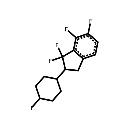 Fc1ccc2c(c1F)C(F)(F)C(C1CCC(I)CC1)C2